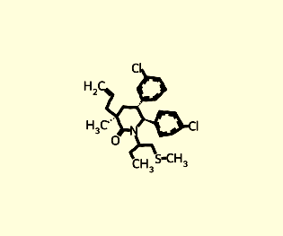 C=CC[C@@]1(C)C[C@H](c2cccc(Cl)c2)[C@@H](c2ccc(Cl)cc2)N(C(CC)CSC)C1=O